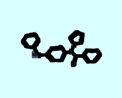 O=C(c1ccccc1)N(c1ccc(Nc2ccccc2)cc1)n1cccc1